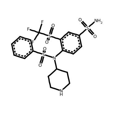 NS(=O)(=O)c1ccc(N(C2CCNCC2)S(=O)(=O)c2ccccc2)c(S(=O)(=O)C(F)(F)F)c1